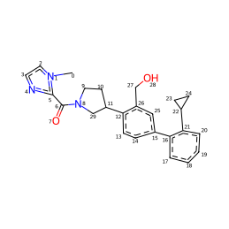 Cn1ccnc1C(=O)N1CCC(c2ccc(-c3ccccc3C3CC3)cc2CO)C1